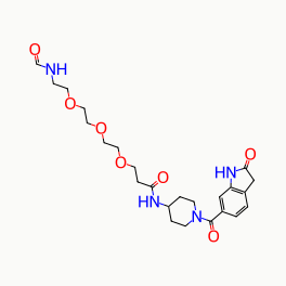 O=CNCCOCCOCCOCCC(=O)NC1CCN(C(=O)c2ccc3c(c2)NC(=O)C3)CC1